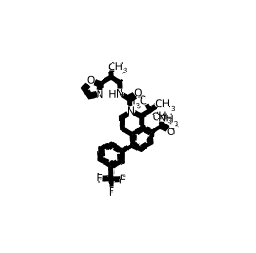 CC(CNC(=O)N1CCc2c(-c3cccc(C(F)(F)F)c3)ccc(C(N)=O)c2C1C(C)(C)C)c1ncco1